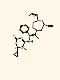 C#CC1CC(/N=C\C)CCC(/C(C)=C(/NC2=NC(=O)C[C@H](C3CC3)[C@@H]2C)c2ccccc2)C1